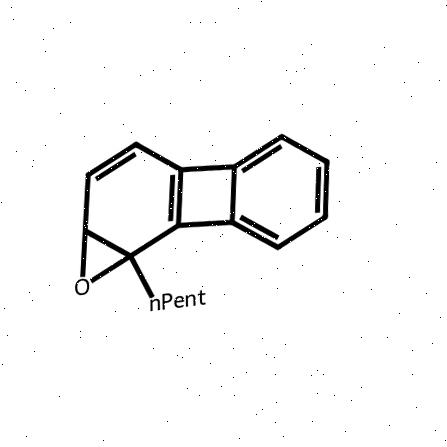 CCCCCC12OC1C=CC1=C2c2ccccc21